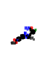 CC(C)(C)OC(=O)N1CCC(c2ccc(Nc3ncc(C(F)(F)F)c(CCc4ccc(F)cc4CC(N)=O)n3)cc2)CC1